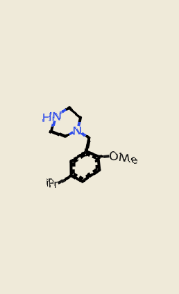 COc1ccc(C(C)C)cc1CN1CCNCC1